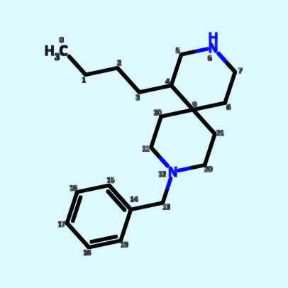 CCCCC1CNCCC12CCN(Cc1ccccc1)CC2